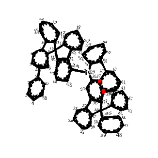 c1ccc(-c2ccc3c(c2)C2(c4ccccc4-3)c3ccccc3-c3c(N(c4ccc5c(c4)-c4ccccc4C5(c4ccccc4)c4ccccc4)c4ccccc4-c4ccccc4)cccc32)cc1